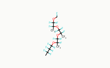 CC(F)(F)C(F)(F)C(F)(F)OC(F)(C(F)(F)F)C(F)(F)OC(F)(C(F)(F)F)C(F)(F)OC(F)(C(F)(F)F)C(F)(F)OCF